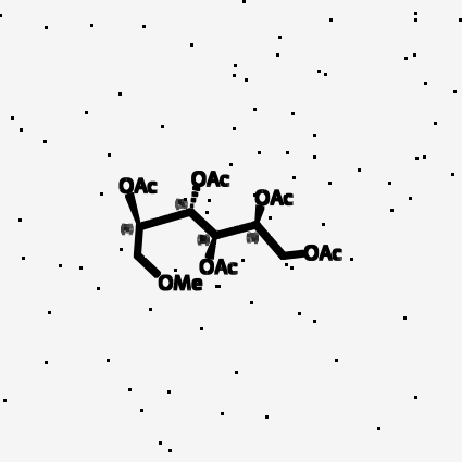 COC[C@@H](OC(C)=O)[C@H](OC(C)=O)[C@H](OC(C)=O)[C@H](COC(C)=O)OC(C)=O